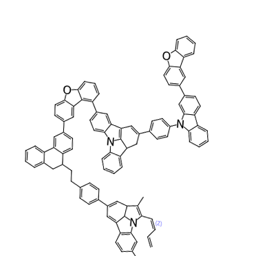 C=C/C=C\C1=C(C)C2C=C(c3ccc(CCC4Cc5ccccc5-c5cc(-c6ccc7oc8cccc(-c9ccc%10c(c9)c9c%11n%10-c%10ccccc%10C%11CC(c%10ccc(-n%11c%12ccccc%12c%12ccc(-c%13ccc%14oc%15ccccc%15c%14c%13)cc%12%11)cc%10)=C9)c8c7c6)ccc54)cc3)C=C3c4ccc(C)cc4N1C32